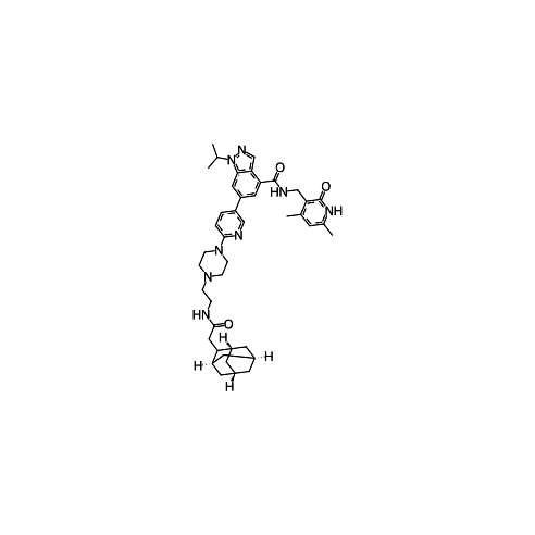 Cc1cc(C)c(CNC(=O)c2cc(-c3ccc(N4CCN(CCNC(=O)CC5[C@H]6C[C@@H]7C[C@@H](C[C@H]5C7)C6)CC4)nc3)cc3c2cnn3C(C)C)c(=O)[nH]1